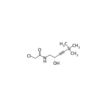 C[Si](C)(C)C#C[C@H](O)CNC(=O)CCl